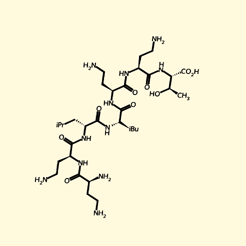 CC[C@H](C)[C@H](NC(=O)[C@@H](CC(C)C)NC(=O)[C@H](CCN)NC(=O)[C@@H](N)CCN)C(=O)N[C@@H](CCN)C(=O)N[C@@H](CCN)C(=O)N[C@H](C(=O)O)[C@@H](C)O